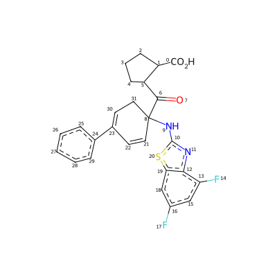 O=C(O)C1CCCC1C(=O)C1(Nc2nc3c(F)cc(F)cc3s2)C=CC(c2ccccc2)=CC1